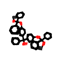 CC(C)(C)O[Si](Oc1ccc(C(O)(c2ccccc2)c2ccc(O[Si](OC(C)(C)C)(c3ccccc3)c3ccccc3)cc2)cc1)(c1ccccc1)c1ccccc1